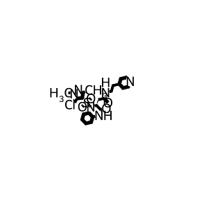 Cc1nn(C)c(Cl)c1S(=O)(=O)N1c2ccccc2NC(=O)[C@H]1CC(=O)NCCc1ccncc1